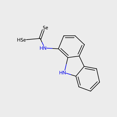 [Se]=C([SeH])Nc1cccc2c1[nH]c1ccccc12